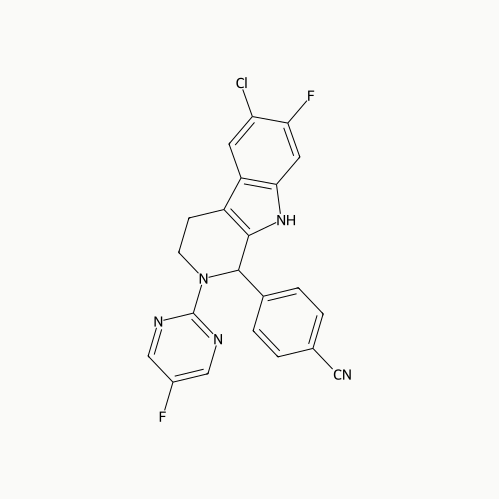 N#Cc1ccc(C2c3[nH]c4cc(F)c(Cl)cc4c3CCN2c2ncc(F)cn2)cc1